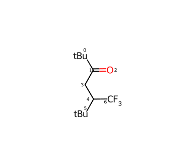 CC(C)(C)C(=O)CC(C(C)(C)C)C(F)(F)F